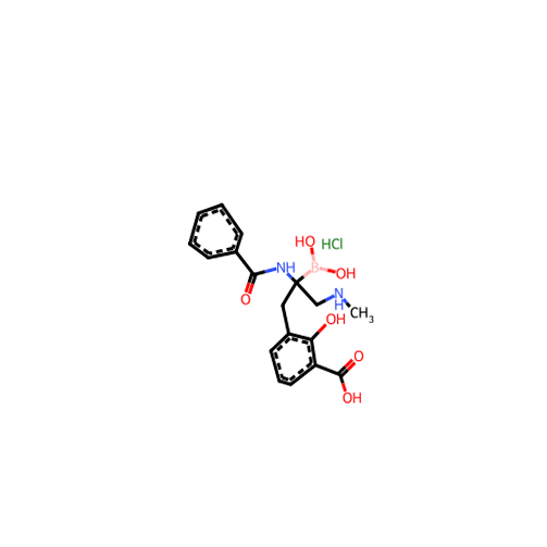 CNCC(Cc1cccc(C(=O)O)c1O)(NC(=O)c1ccccc1)B(O)O.Cl